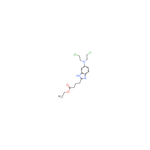 CCOC(=O)CCCc1nc2ccc(N(CCCl)CCCl)cc2[nH]1